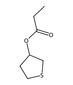 CCC(=O)OC1CCSC1